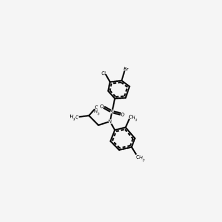 Cc1ccc(N(CC(C)C)S(=O)(=O)c2ccc(Br)c(Cl)c2)c(C)c1